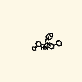 Clc1cccc(C2NC3C=CC(c4ccccc4)=CN3C2CN2CCOCC2)c1